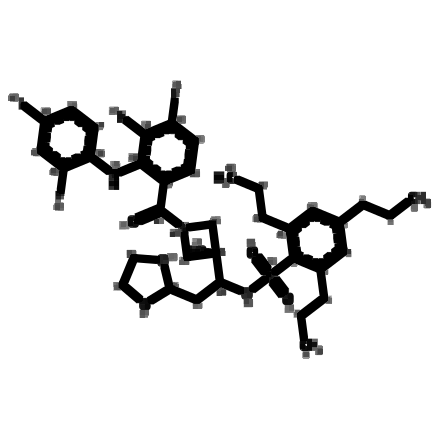 CCCc1cc(CCC)c(S(=O)(=O)OC(CC2OCCO2)C2(O)CN(C(=O)c3ccc(F)c(F)c3Nc3ccc(I)cc3F)C2)c(CCC)c1